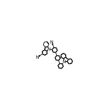 N#Cc1ccc2c(c1)c1c(n2-c2cc(-c3ccc(-c4ccccc4-n4c5ccccc5c5ccccc54)cc3)ccc2C#N)C=CCC1